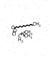 CCCCCCCCCCCC(=O)OCCl.CCN(CC)CC